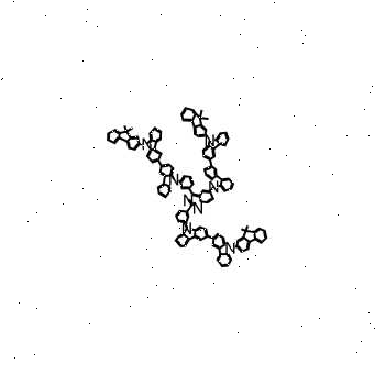 CC1(C)c2ccccc2-c2ccc(-n3c4ccccc4c4cc(-c5ccc6c(c5)c5ccccc5n6-c5cccc(-c6nc(-c7cccc(-n8c9ccccc9c9cc(-c%10ccc%11c(c%10)c%10ccccc%10n%11-c%10ccc%11c(c%10)C(C)(C)c%10ccccc%10-%11)ccc98)c7)c7cc(-n8c9ccccc9c9cc(-c%10ccc%11c(c%10)c%10ccccc%10n%11-c%10ccc%11c(c%10)C(C)(C)c%10ccccc%10-%11)ccc98)ccc7n6)c5)ccc43)cc21